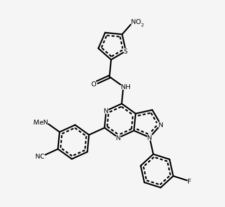 CNc1cc(-c2nc(NC(=O)c3ccc([N+](=O)[O-])s3)c3cnn(-c4cccc(F)c4)c3n2)ccc1C#N